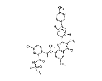 Cc1cc([C@@H](C)Nc2ccc(Cl)nc2C(=O)NS(C)(=O)=O)c2nc(N3C[C@H]4C[C@@H]3CN4c3cnc(C)cn3)n(C)c(=O)c2c1